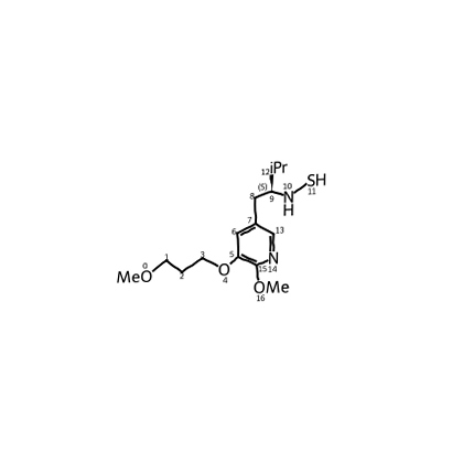 COCCCOc1cc(C[C@H](NS)C(C)C)cnc1OC